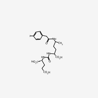 CC(CCC(NC(=O)N[C@@H](CCC(=O)O)C(=O)O)C(=O)O)NC(=O)Cc1ccc(I)cc1